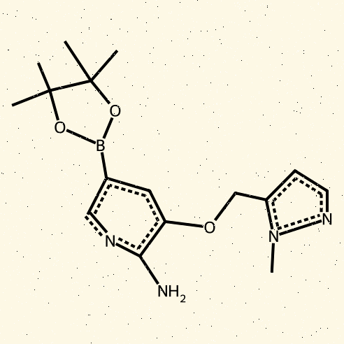 Cn1nccc1COc1cc(B2OC(C)(C)C(C)(C)O2)cnc1N